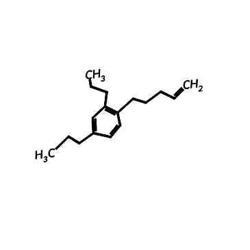 C=CCCCc1ccc(CCC)cc1CCC